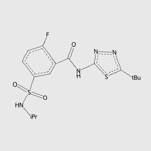 CC(C)NS(=O)(=O)c1ccc(F)c(C(=O)Nc2nnc(C(C)(C)C)s2)c1